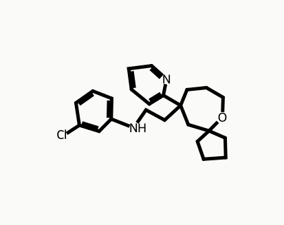 Clc1cccc(NCCC2(c3ccccn3)CCCOC3(CCCC3)C2)c1